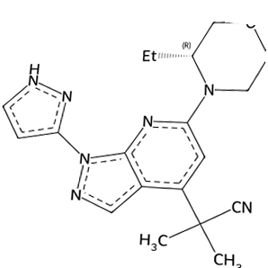 CC[C@@H]1COCCN1c1cc(C(C)(C)C#N)c2cnn(-c3cc[nH]n3)c2n1